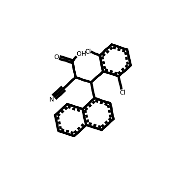 N#CC(C(=O)O)C(c1c(Cl)cccc1Cl)c1cccc2ccccc12